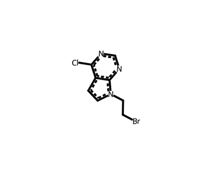 Clc1ncnc2c1ccn2CCBr